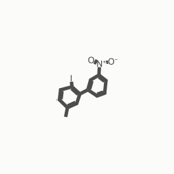 Cc1[c]cc(I)c(-c2cccc([N+](=O)[O-])c2)c1